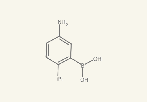 CC(C)c1ccc(N)cc1B(O)O